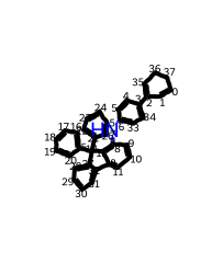 C1=CC(c2ccc(Nc3cccc4c3C(c3ccccc3)(c3ccccc3)c3ccccc3-4)cc2)=CCC1